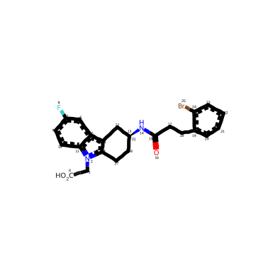 O=C(O)Cn1c2c(c3cc(F)ccc31)C[C@@H](NC(=O)CCc1ccccc1Br)CC2